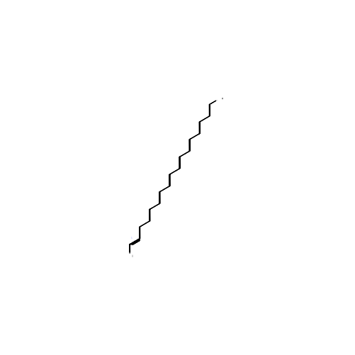 O/C=C/CCCCCCCCCCCCCCCO